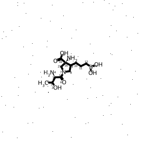 CC(O)[C@H](N)C(=O)N1CC(CCCB(O)O)[C@](N)(C(=O)O)C1